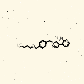 CCCCOCc1ccc(CN2CC(c3cccnc3N)C=N2)cc1